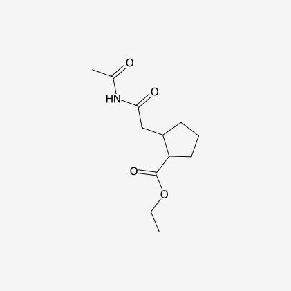 CCOC(=O)C1CCCC1CC(=O)NC(C)=O